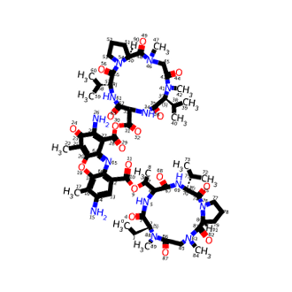 CC[C@H]1C(=O)NC(C(C)OC(=O)c2cc(N)c(C)c3oc4c(C)c(=O)c(N)c(C(=O)OC(=O)C5NC(=O)[C@H](C(C)C)N(C)C(=O)CN(C)C(=O)[C@@H]6CCCN6C(=O)[C@@H](C(C)C)NC5=O)c-4nc23)C(=O)N[C@H](C(C)C)C(=O)N2CCC[C@H]2C(=O)N(C)CC(=O)N1C